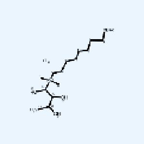 CCCCCCCCCCCCCCCCCC[N+](C)(C)C(O)C(O)C(O)[SiH3].[Cl-]